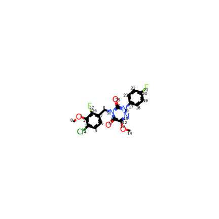 COc1c(Cl)ccc(Cn2c(=O)c(OC)nn(-c3ccc(F)cc3)c2=O)c1F